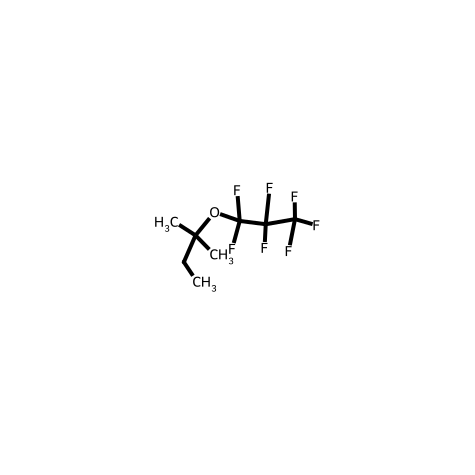 CCC(C)(C)OC(F)(F)C(F)(F)C(F)(F)F